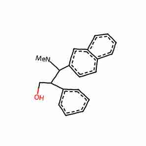 CNC(c1ccc2ccccc2c1)C(CO)c1ccccc1